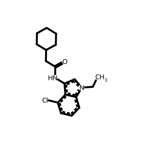 CCn1cc(NC(=O)CC2CCCCC2)c2c(Cl)cccc21